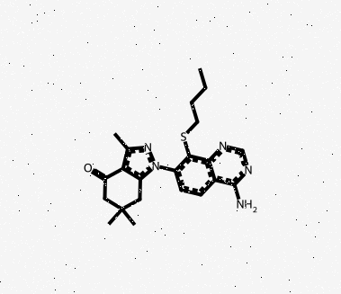 CCCCSc1c(-n2nc(C)c3c2CC(C)(C)CC3=O)ccc2c(N)ncnc12